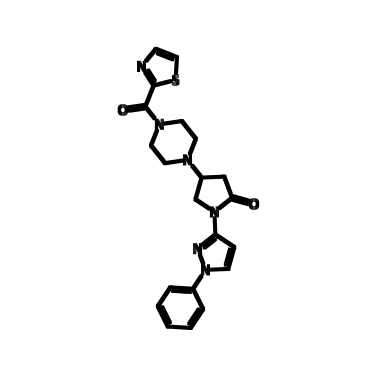 O=C(c1nccs1)N1CCN(C2CC(=O)N(c3ccn(-c4ccccc4)n3)C2)CC1